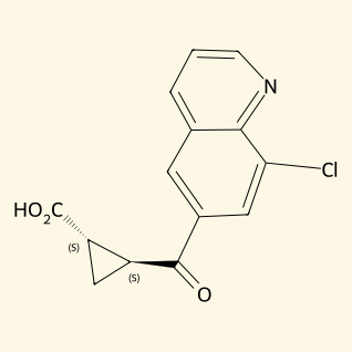 O=C(O)[C@H]1C[C@@H]1C(=O)c1cc(Cl)c2ncccc2c1